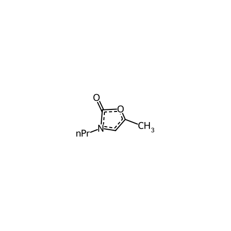 CCCn1cc(C)oc1=O